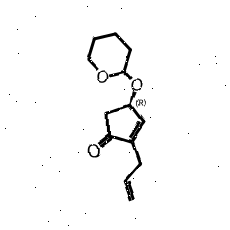 C=CCC1=C[C@H](OC2CCCCO2)CC1=O